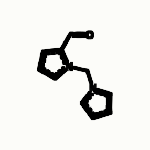 O=Cc1cccn1Cn1cccc1